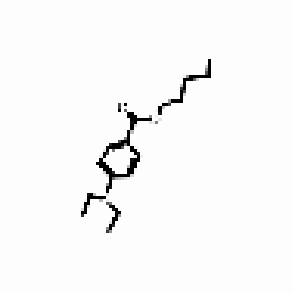 CCCCCOC(=O)c1ccc(N(CC)CC)cc1